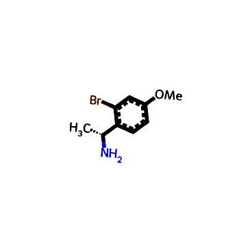 COc1ccc([C@@H](C)N)c(Br)c1